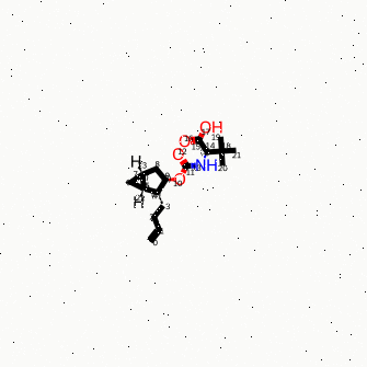 C=CCC[C@@H]1[C@H]2C[C@H]2C[C@H]1OC(=O)N[C@H](C(=O)O)C(C)(C)C